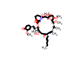 CCC/C=C/C[C@@H]1/C=C(\C)C[C@H](C)C[C@H](OC)[C@H]2O[C@@](O)(C(=O)C(=O)N3CCCC[C@H]3C(=O)O[C@H](/C(C)=C/[C@@H]3CCC(=O)[C@H](OC)C3)[C@H](C)[C@@H](O)CC1=O)[C@H](C)C[C@@H]2OC